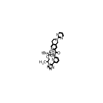 CC(CO[Si](C)(C)C(C)(C)C)n1nnnc1-c1cccc(NC(=O)c2cc3c(cn2)CCN(c2ncccn2)C3)n1